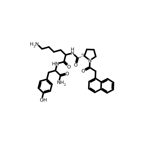 NCCCCC(NC(=O)[C@@H]1CCCN1C(=O)Cc1cccc2ccccc12)C(=O)NC(Cc1ccc(O)cc1)C(N)=O